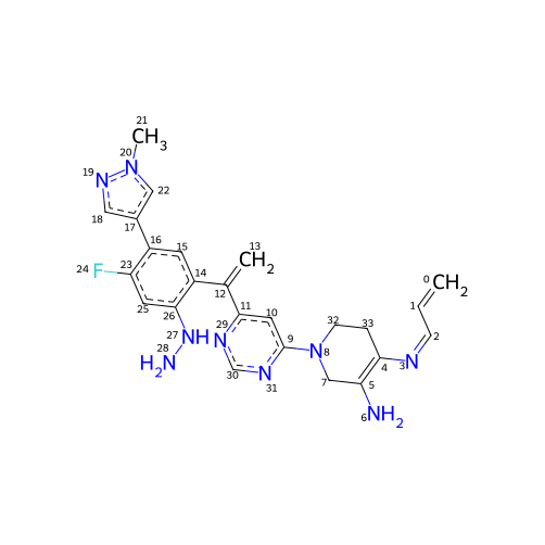 C=C/C=N\C1=C(N)CN(c2cc(C(=C)c3cc(-c4cnn(C)c4)c(F)cc3NN)ncn2)CC1